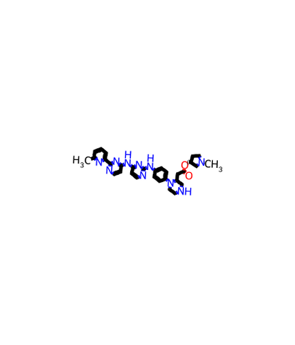 Cc1cccc(-c2nccc(Nc3ccnc(Nc4ccc(N5CCNCC5CC(=O)O[C@@H]5CCN(C)C5)cc4)n3)n2)n1